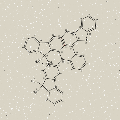 CC1(C)c2ccccc2-c2cc(N(c3ccccc3-c3cccc4c3oc3ccccc34)c3cccc4c3C(C)(C)c3ccccc3-4)ccc21